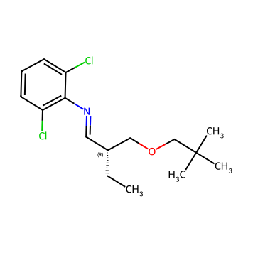 CC[C@H](C=Nc1c(Cl)cccc1Cl)COCC(C)(C)C